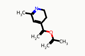 C=C(C)OC(=C)C1=CC(C)=NCC1